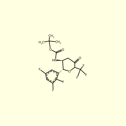 CC(C)(C)OC(=O)N[C@H]1CC(=O)C(C(F)(F)F)O[C@@H]1c1cc(F)cc(F)c1F